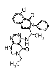 CCN1CNc2ncnc(NC(C)c3cc4cccc(Cl)c4c(=O)n3-c3ccccc3)c2C1=O